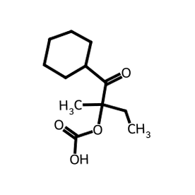 CCC(C)(OC(=O)O)C(=O)C1CCCCC1